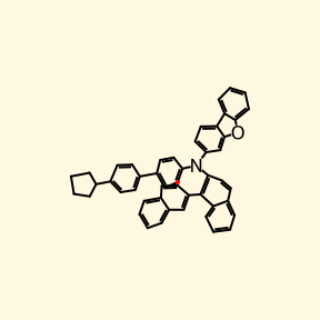 c1ccc2cc(-c3c(N(c4ccc(-c5ccc(C6CCCC6)cc5)cc4)c4ccc5c(c4)oc4ccccc45)ccc4ccccc34)ccc2c1